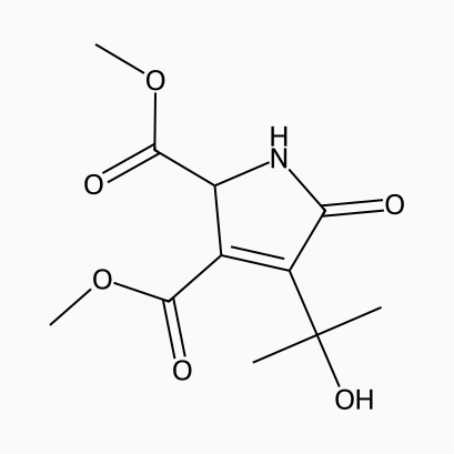 COC(=O)C1=C(C(C)(C)O)C(=O)NC1C(=O)OC